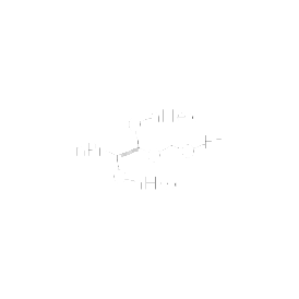 CCCCCCOC(CCC)=C(OCCCCCC)OCOCC